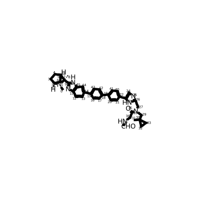 CN1[C@@H]2CC[C@@H](C2)[C@@]1(C)c1nc2ccc(-c3ccc(-c4ccc(-c5cnc(CN(CC6(C)CC6)C(=O)CNC=O)[nH]5)cc4)cc3)cc2[nH]1